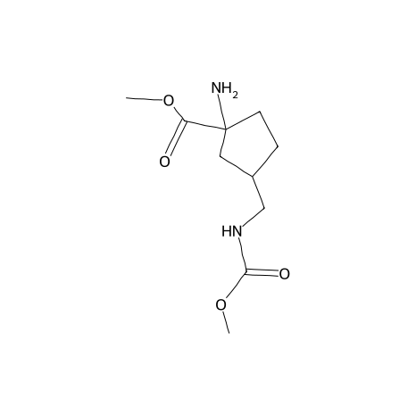 COC(=O)NCC1CCC(N)(C(=O)OC)C1